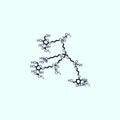 COSP(=O)(OCCCCOC1OC(CO)C(O)C(O)C1NC(C)=O)OCCCOCC(COCCCCCCOP(=O)(O)S)(COCCCOP(=O)(S)OCCCCOC1CC(CO)C(O)C(O)C1NC(C)=O)COCCCOP(=O)(OCCCCOC1OC(CO)C(O)C(O)C1NC(C)=O)SOC